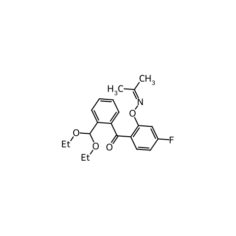 CCOC(OCC)c1ccccc1C(=O)c1ccc(F)cc1ON=C(C)C